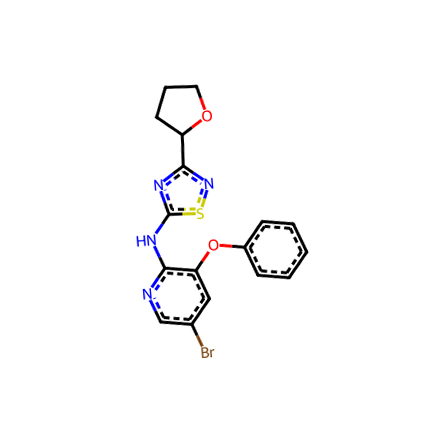 Brc1cnc(Nc2nc(C3CCCO3)ns2)c(Oc2ccccc2)c1